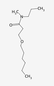 CCCCCCOCCC(=O)N(C)CCC